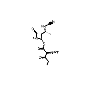 CCC(=O)C(=[N+]=[N-])C(=O)O[C@H]1NC(=O)[C@@H]1[C@@H](C)NC#N